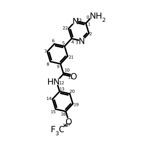 Nc1cnc(-c2cccc(C(=O)Nc3ccc(OC(F)(F)F)cc3)c2)cn1